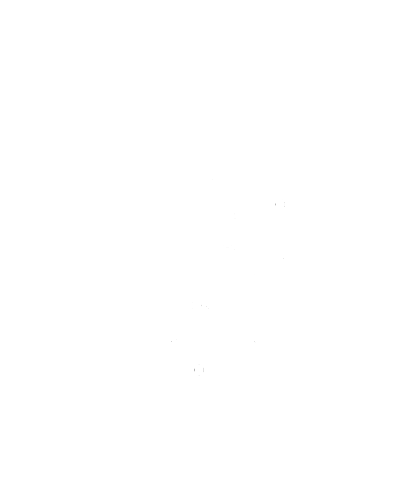 O=C(OC1C2CCCCCC(CCCC2)C1OC(=O)c1ccccc1)c1ccccc1